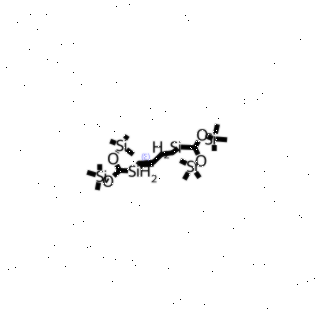 C[Si](C)(C)OC(O[Si](C)(C)C)[SiH2]/C=C/CC[SiH2]C(O[Si](C)(C)C)O[Si](C)(C)C